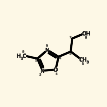 Cc1noc(C(C)CO)n1